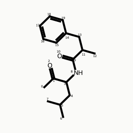 CC(=O)C(CC(C)C)NC(=O)C(C)Cc1ccccc1